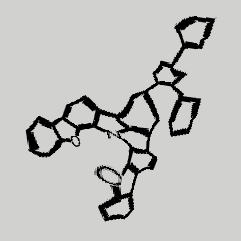 c1ccc(-c2ccc(-c3cc4c5ccc6c7ccccc7oc6c5n5c4c(c3)c3ccc4c6ccccc6oc4c35)c(-c3ccccc3)c2)cc1